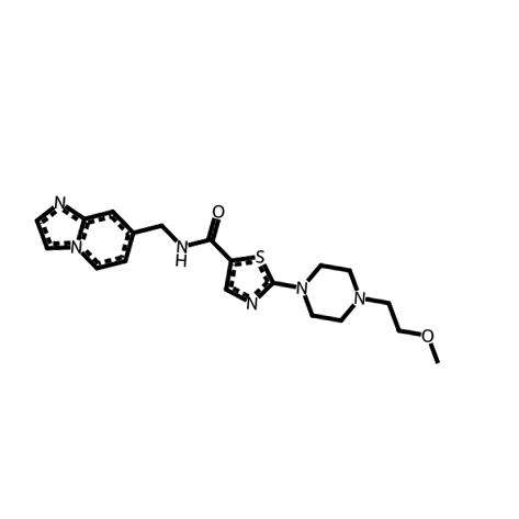 COCCN1CCN(c2ncc(C(=O)NCc3ccn4ccnc4c3)s2)CC1